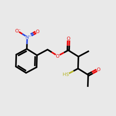 CC(=O)C(S)C(C)C(=O)OCc1ccccc1[N+](=O)[O-]